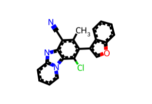 Cc1c(-c2coc3ccccc23)c(Cl)c2c(nc3ccccn32)c1C#N